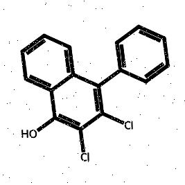 Oc1c(Cl)c(Cl)c(-c2[c]cccc2)c2ccccc12